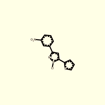 O=[N+]([O-])c1cccc(-c2cc(-c3cccs3)n(Cl)n2)c1